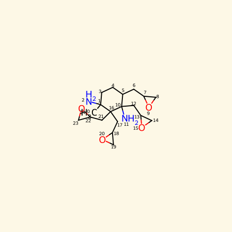 CC1(N)CCC(CC2CO2)C(N)(CC2CO2)C1(CC1CO1)CC1CO1